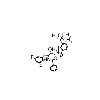 CC(C)(C)Cc1cccc(C2(NC[C@H](O)[C@H](Cc3cc(F)cc(F)c3)NC(=O)c3ccccc3)CC2)c1